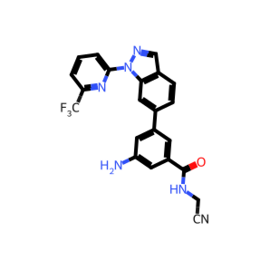 N#CCNC(=O)c1cc(N)cc(-c2ccc3cnn(-c4cccc(C(F)(F)F)n4)c3c2)c1